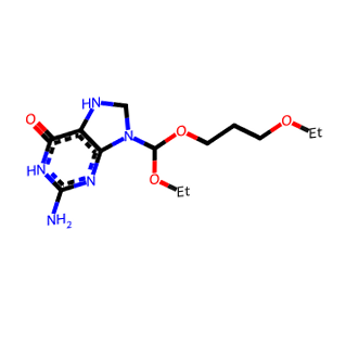 CCOCCCOC(OCC)N1CNc2c1nc(N)[nH]c2=O